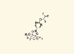 CC1(C)OB(c2cnc(OC(F)C(F)F)nc2)OC1(C)C